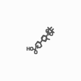 Cc1cc(C2=CCN(C(=O)O)CC2)ccc1B1OC(C)(C)C(C)(C)O1